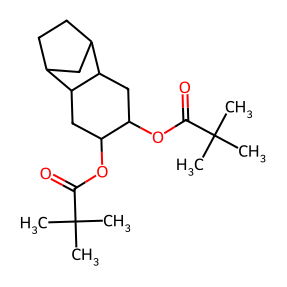 CC(C)(C)C(=O)OC1CC2C3CCC(C3)C2CC1OC(=O)C(C)(C)C